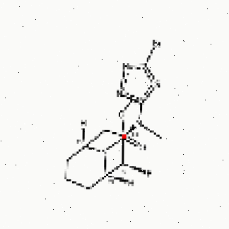 CN(c1nnc(Br)s1)[C@@H]1C[C@H]2CCC[C@@H]([C@@H]1F)N2C(=O)OC(C)(C)C